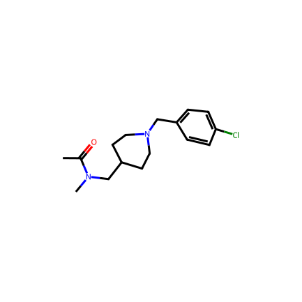 CC(=O)N(C)CC1CCN(Cc2ccc(Cl)cc2)CC1